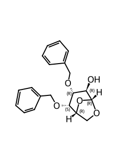 O[C@H]1[C@@H]2OC[C@@H](O2)[C@H](OCc2ccccc2)[C@@H]1OCc1ccccc1